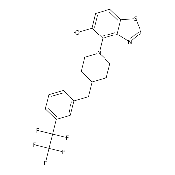 [O]c1ccc2scnc2c1N1CCC(Cc2cccc(C(F)(F)C(F)(F)F)c2)CC1